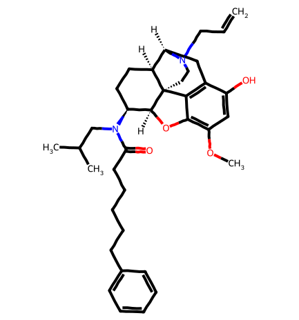 C=CCN1CC[C@]23c4c5c(O)cc(OC)c4O[C@H]2[C@@H](N(CC(C)C)C(=O)CCCCCc2ccccc2)CC[C@H]3[C@H]1C5